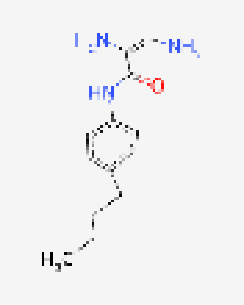 CCCCc1ccc(NC(=O)/C(N)=C\N)cc1